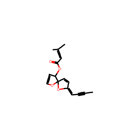 CC#C/C=C1\C=CC2(OC=CC2OC(=O)C=C(C)C)O1